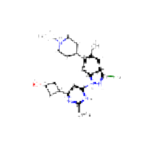 COc1nc(C2CC(O)C2)cc(-n2nc(F)c3cc(C)c(C4CCN(C(=O)O)CC4)cc32)n1